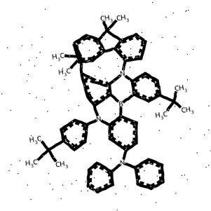 CC(C)(C)c1ccc(N2c3cc(N(c4ccccc4)c4ccccc4)ccc3B3c4cc(C(C)(C)C)ccc4N4c5cc(cc2c53)C(C)(C)c2ccc3c(c2)C(C)(C)c2cccc4c2-3)cc1